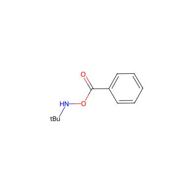 [CH2]C(C)(C)NOC(=O)c1ccccc1